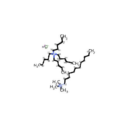 CCCCCCCCCCCC[N+](C)(C)C.CCCCC[N+](CCCCC)(CCCCC)CCCCC.[Cl-].[I-]